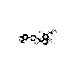 CC(=O)O[C@@H]1[C][C@@]2(O)[C@H](C)CC[C@@H]([C@H](C)CN3CCN(c4ccc(Cl)c(C(F)(F)F)c4)CC3)[C@H]2C=C1C